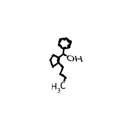 CCCCC1=C(C(O)c2ccccc2)CCC1